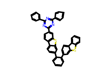 c1ccc(-c2nc(-c3ccccc3)nc(-c3ccc4c(c3)sc3cc(-c5ccccc5-c5ccc6c(c5)sc5ccccc56)ccc34)n2)cc1